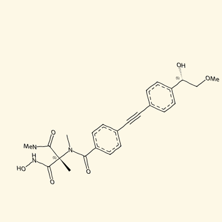 CNC(=O)[C@@](C)(C(=O)NO)N(C)C(=O)c1ccc(C#Cc2ccc([C@H](O)COC)cc2)cc1